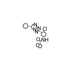 O=C(Nc1ccc(Cl)c(-c2nc3ncc(-c4ccccc4)cn3n2)c1)c1ccco1